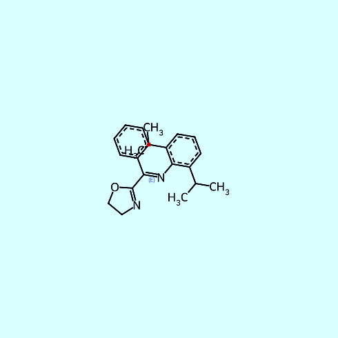 CC(C)c1cccc(C(C)C)c1/N=C(/C1=NCCO1)c1ccccc1